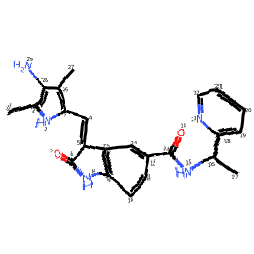 Cc1[nH]c(C=C2C(=O)Nc3ccc(C(=O)NC(C)c4ccccn4)cc32)c(C)c1N